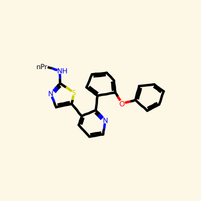 CCCNc1ncc(-c2cccnc2-c2ccccc2Oc2ccccc2)s1